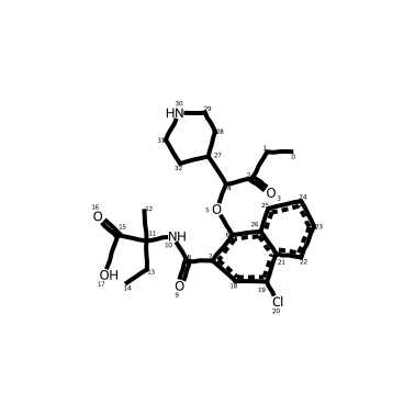 CCC(=O)C(Oc1c(C(=O)NC(C)(CC)C(=O)O)cc(Cl)c2ccccc12)C1CCNCC1